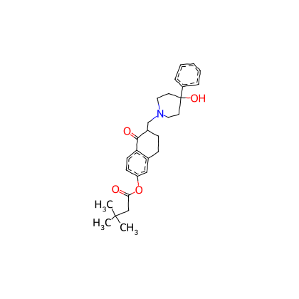 CC(C)(C)CC(=O)Oc1ccc2c(c1)CCC(CN1CCC(O)(c3ccccc3)CC1)C2=O